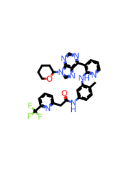 Cc1ccc(NC(=O)Cc2cccc(C(F)(F)F)n2)cc1Nc1ncccc1-c1ncnc2c1ncn2C1CCCCO1